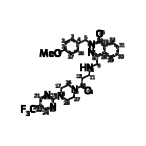 COc1ccc(Cn2nc(CNCCC(=O)N3CCN(c4ncc(C(F)(F)F)cn4)CC3)c3ccccc3c2=O)cc1